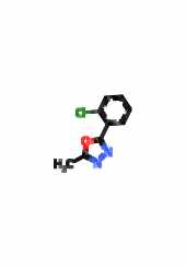 Cc1nnc(-c2ccccc2Cl)o1